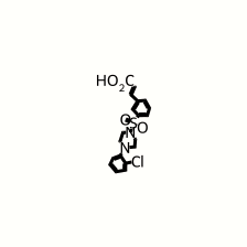 O=C(O)C=Cc1cccc(S(=O)(=O)N2CCN(c3ccccc3Cl)CC2)c1